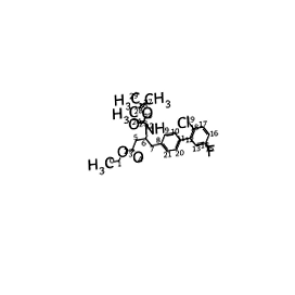 CCOC(=O)CC(Cc1ccc(-c2cc(F)ccc2Cl)cc1)NC(=O)OC(C)(C)C